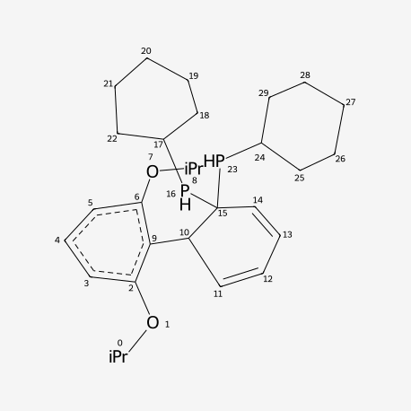 CC(C)Oc1cccc(OC(C)C)c1C1C=CC=CC1(PC1CCCCC1)PC1CCCCC1